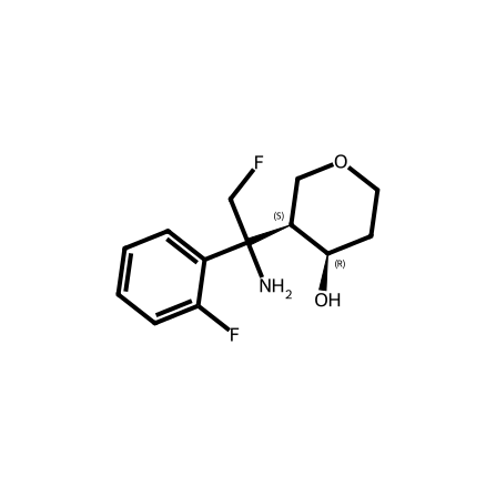 NC(CF)(c1ccccc1F)[C@H]1COCC[C@H]1O